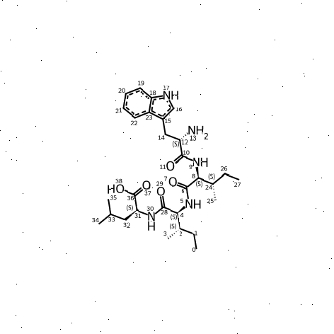 CC[C@H](C)[C@H](NC(=O)[C@@H](NC(=O)[C@@H](N)Cc1c[nH]c2ccccc12)[C@@H](C)CC)C(=O)N[C@@H](CC(C)C)C(=O)O